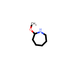 COC1CCCCCN1